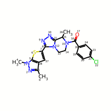 Cc1nn(C)c2sc(-c3nnc4n3CCN(C(=O)c3ccc(Cl)cc3)C4C)cc12